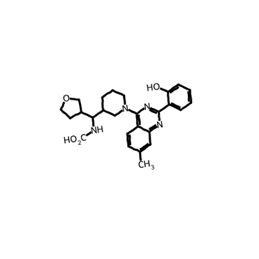 Cc1ccc2c(N3CCCC(C(NC(=O)O)C4CCOC4)C3)nc(-c3ccccc3O)nc2c1